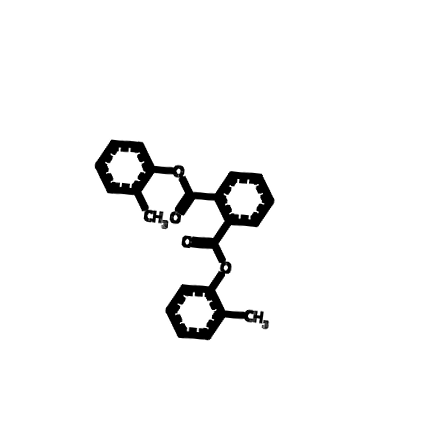 Cc1ccccc1OC(=O)c1ccccc1C(=O)Oc1ccccc1C